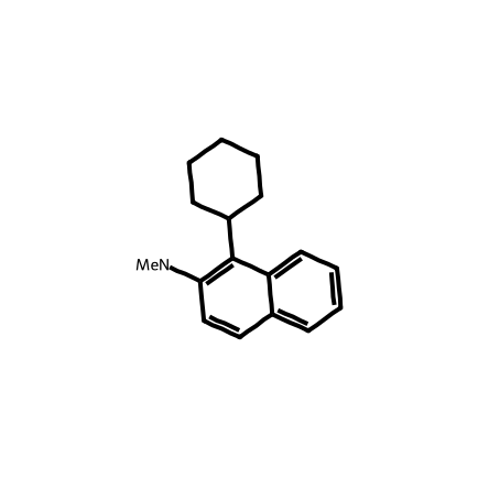 CNc1ccc2ccccc2c1C1CCCCC1